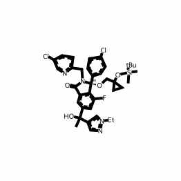 CCn1cc(C(C)(O)c2cc(F)c3c(c2)C(=O)N(Cc2ccc(Cl)cn2)[C@@]3(OCC2(O[Si](C)(C)C(C)(C)C)CC2)c2ccc(Cl)cc2)cn1